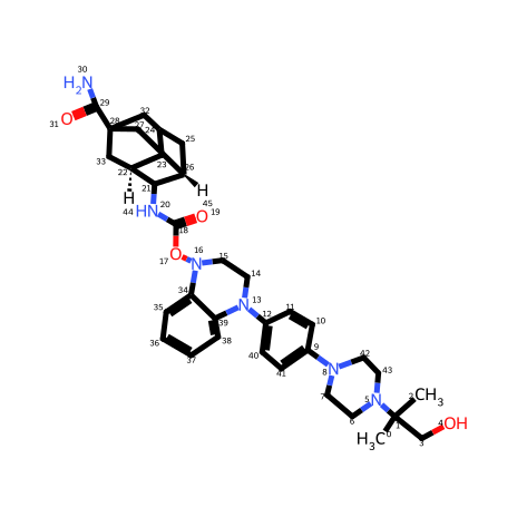 CC(C)(CO)N1CCN(c2ccc(N3CCN(OC(=O)NC4[C@@H]5CC6C[C@H]4CC(C(N)=O)(C6)C5)c4ccccc43)cc2)CC1